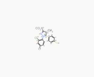 C[C@H]1C(C(=O)O)=NN(c2ccc(Cl)cc2Cl)[C@H]1c1ccc(F)cc1